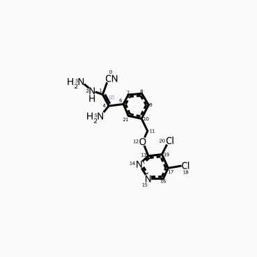 N#C/C(NN)=C(/N)c1cccc(COc2nncc(Cl)c2Cl)c1